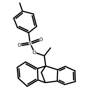 Cc1ccc(S(=O)(=O)OC(C)C23CC(c4ccccc42)c2ccccc23)cc1